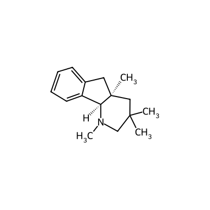 CN1CC(C)(C)C[C@]2(C)Cc3ccccc3[C@H]12